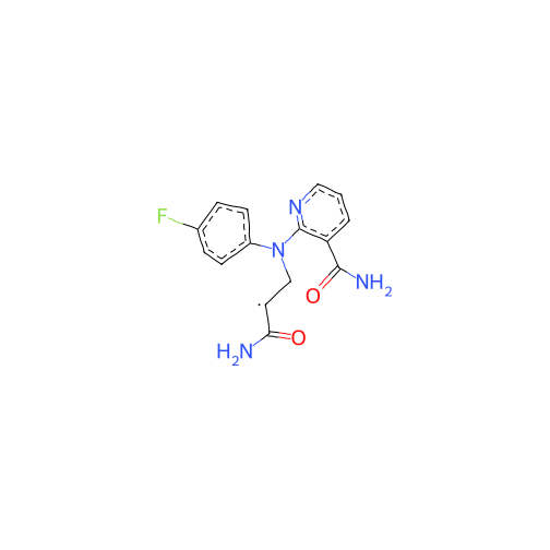 NC(=O)[CH]CN(c1ccc(F)cc1)c1ncccc1C(N)=O